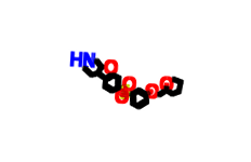 O=S(=O)(c1cccc(OCC2CCCCO2)c1)c1ccc2c(c1)OC1CNCCC21